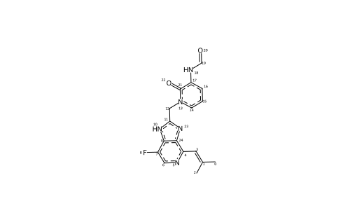 CC(C)=Cc1ncc(F)c2[nH]c(Cn3cccc(NC=O)c3=O)nc12